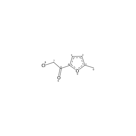 Cc1ccc(C(=O)CCl)o1